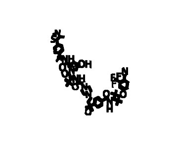 Cc1ncsc1-c1ccc([C@H](C)NC(=O)[C@@H]2C[C@@H](O)CN2C(=O)[C@@H](NC(=O)CN2CCN(CCC3(c4ccc(C(=O)N[C@H]5C(C)(C)[C@H](Oc6ccc(C#N)c(C(F)(F)F)c6)C5(C)C)cc4)COC3)CC2)C(C)(C)C)cc1